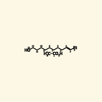 CC(=O)O.CCC=CCCCCCCCCO